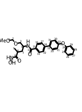 COCOCC(CC(C)C(=O)NO)NC(=O)c1ccc(-c2ccc(Oc3ccccc3)cc2)cc1